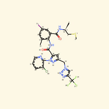 CSC[C@H](C)NC(=O)c1cc(I)cc(C)c1NC(=O)c1cc(Cn2cc(C(F)(F)F)nn2)nn1-c1ncccc1Cl